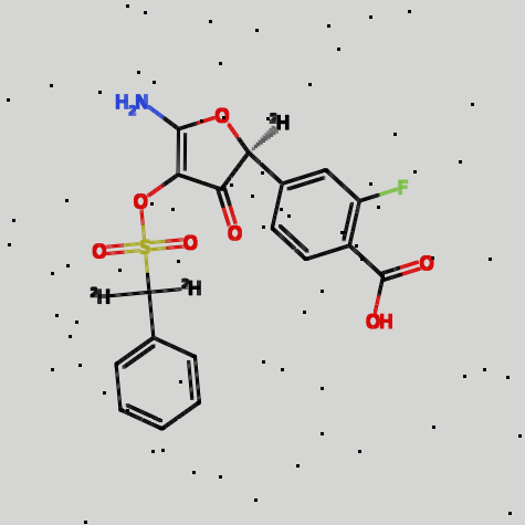 [2H]C([2H])(c1ccccc1)S(=O)(=O)OC1=C(N)O[C@@]([2H])(c2ccc(C(=O)O)c(F)c2)C1=O